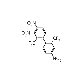 O=[N+]([O-])c1ccc(-c2ccc([N+](=O)[O-])c([N+](=O)[O-])c2C(F)(F)F)c(C(F)(F)F)c1